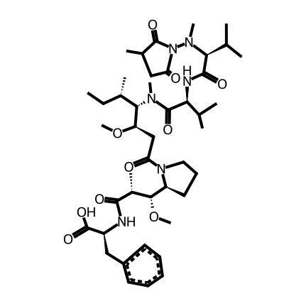 CC[C@H](C)[C@@H]([C@@H](CC(=O)N1CCC[C@H]1[C@H](OC)[C@@H](C)C(=O)N[C@@H](Cc1ccccc1)C(=O)O)OC)N(C)C(=O)[C@@H](NC(=O)[C@H](C(C)C)N(C)N1C(=O)CC(C)C1=O)C(C)C